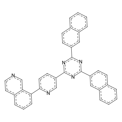 c1ccc2cc(-c3nc(-c4ccc(-c5cccc6ccncc56)nc4)nc(-c4ccc5ccccc5c4)n3)ccc2c1